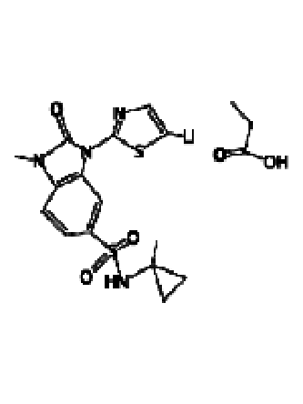 CCC(=O)O.[Li][c]1cnc(-n2c(=O)n(C)c3ccc(S(=O)(=O)NC4(C)CC4)cc32)s1